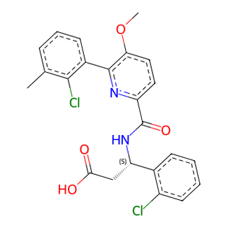 COc1ccc(C(=O)N[C@@H](CC(=O)O)c2ccccc2Cl)nc1-c1cccc(C)c1Cl